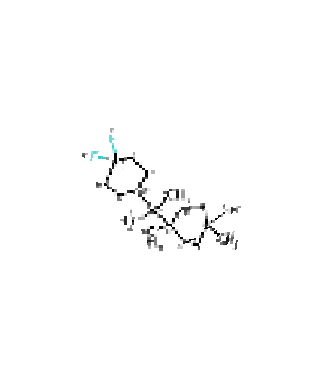 CC(C)C1(C)C=CC(C)(C(C)(C)C2CCC(F)(F)CC2)CC1